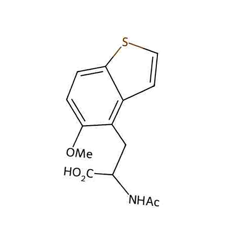 COc1ccc2sccc2c1CC(NC(C)=O)C(=O)O